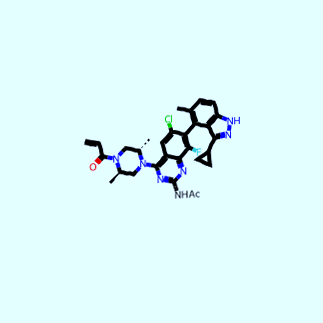 C=CC(=O)N1C[C@H](C)N(c2nc(NC(C)=O)nc3c(F)c(-c4c(C)ccc5[nH]nc(C6CC6)c45)c(Cl)cc23)C[C@H]1C